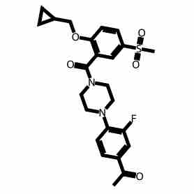 CC(=O)c1ccc(N2CCN(C(=O)c3cc(S(C)(=O)=O)ccc3OCC3CC3)CC2)c(F)c1